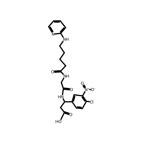 O=C(O)CC(NC(=O)CNC(=O)CCCCNc1ccccn1)c1ccc(Cl)c([N+](=O)[O-])c1